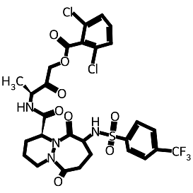 C[C@H](NC(=O)[C@@H]1CCCN2C(=O)CCC(NS(=O)(=O)c3ccc(C(F)(F)F)cc3)C(=O)N12)C(=O)COC(=O)c1c(Cl)cccc1Cl